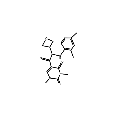 Cn1cc(C(=O)N(Nc2ccc(I)cc2F)C2COC2)c(=O)n(C)c1=O